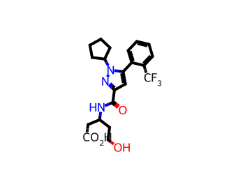 O=C(O)CC(CCO)NC(=O)c1cc(-c2ccccc2C(F)(F)F)n(C2CCCC2)n1